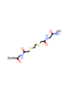 CCCNC(=O)CNC(=O)CSCCSCC(=O)NCC(=O)NC